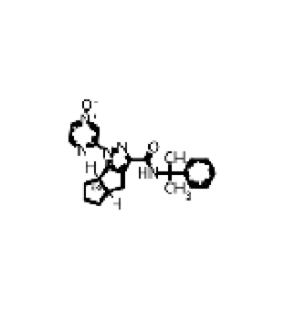 CC(C)(NC(=O)c1nn(-c2c[n+]([O-])ccn2)c2c1C[C@H]1CCC[C@@H]21)c1ccccc1